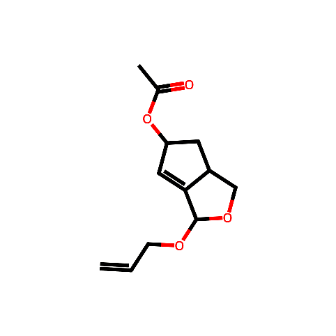 C=CCOC1OCC2CC(OC(C)=O)C=C21